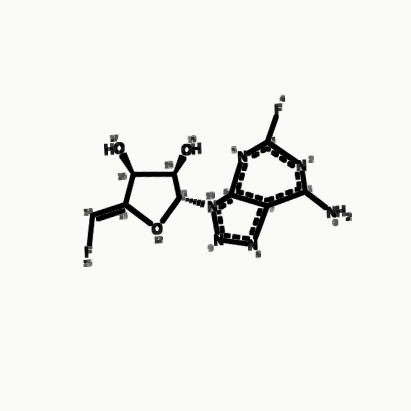 Nc1nc(F)nc2c1nnn2[C@@H]1O/C(=C\F)[C@@H](O)[C@H]1O